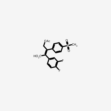 CC(=O)OC/C(=C(\C(=O)O)c1ccc(F)c(F)c1)c1ccc(S(C)(=O)=O)cc1